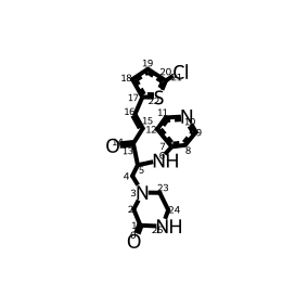 O=C1CN(CC(Nc2ccncc2)C(=O)C=Cc2ccc(Cl)s2)CCN1